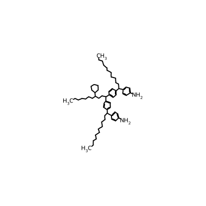 CCCCCCCCCCCC(c1ccc(N)cc1)c1ccc(C(CCC(CCCCCCC)C2CCCCC2)c2ccc(C(CCCCCCCCCCC)c3ccc(N)cc3)cc2)cc1